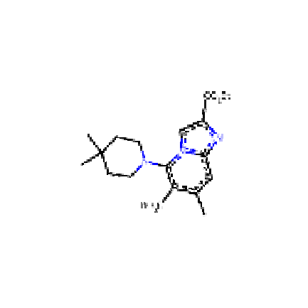 CCOC(=O)c1cn2c(N3CCC(C)(C)CC3)c(C(=O)O)c(C)cc2n1